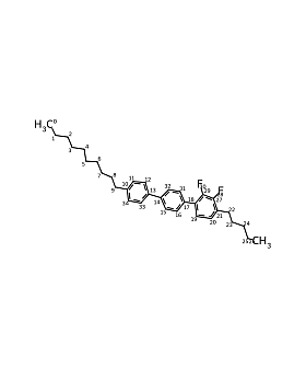 CCCCCCCCCCc1ccc(-c2ccc(-c3ccc(CCCCC)c(F)c3F)cc2)cc1